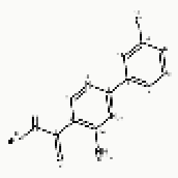 CCCNC(=O)c1cnc(-c2cccc(Cl)c2)nc1N